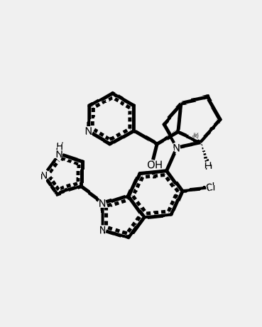 OC(c1cccnc1)C1C2CC[C@H]1N(c1cc3c(cnn3-c3cn[nH]c3)cc1Cl)C2